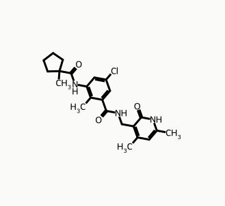 Cc1cc(C)c(CNC(=O)c2cc(Cl)cc(NC(=O)C3(C)CCCC3)c2C)c(=O)[nH]1